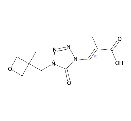 C/C(=C\n1nnn(CC2(C)COC2)c1=O)C(=O)O